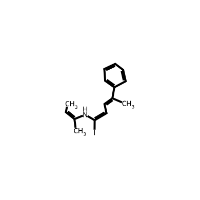 C/C=C(/C)N/C(I)=C\C=C(/C)c1ccccc1